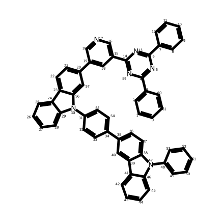 c1ccc(-c2nc(-c3ccccc3)nc(-c3cncc(-c4ccc5c6ccccc6n(-c6ccc(-c7ccc8c(c7)c7ccccc7n8-c7ccccc7)cc6)c5c4)c3)n2)cc1